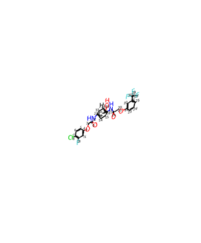 O=C(COc1ccc(Cl)c(F)c1)NC12CCC(NC(=O)COc3cccc(C(F)(F)F)c3)(CC1)[C@@H](O)C2